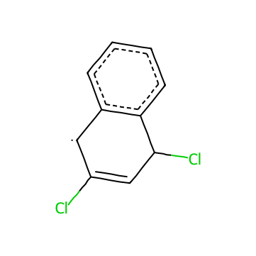 ClC1=CC(Cl)c2ccccc2[CH]1